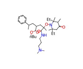 CCCCOC(=O)C(CC(C)c1ccccc1)CC(C)(ON1C(C)(CC)CC(=O)C(C)C1(C)CC)C(=O)NCCCN(C)C